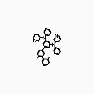 Cc1ccccc1-c1cc(-c2cc(N(c3ccccc3)c3cccnc3)cc(N(c3ccccc3)c3cccnc3)c2)ccc1C